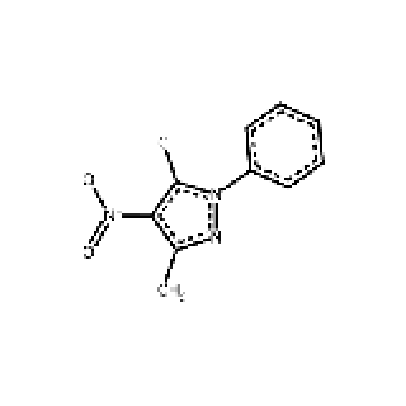 Cc1nn(-c2ccccc2)c(Cl)c1[N+](=O)[O-]